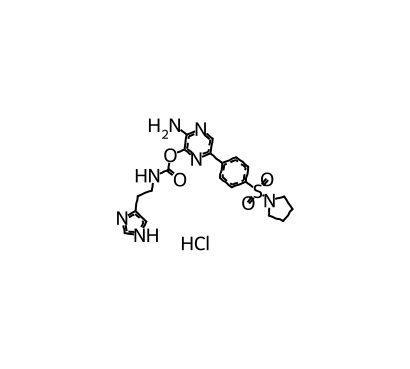 Cl.Nc1ncc(-c2ccc(S(=O)(=O)N3CCCC3)cc2)nc1OC(=O)NCCc1c[nH]cn1